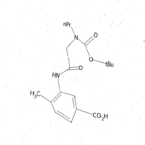 CCCN(CC(=O)Nc1cc(C(=O)O)ccc1C)C(=O)OC(C)(C)C